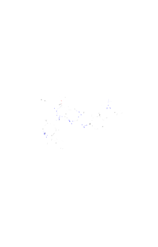 C=CCn1c(=O)c2cnc(Nc3ccc4c(c3)CNC(C)C4)nc2n1-c1ccnc(C(C)(C)C)c1